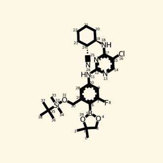 CC1(C)COB(c2c(F)cc(Nc3ncc(Cl)c(N[C@@H]4CCCC[C@H]4C#N)n3)cc2CO[Si](C)(C)C(C)(C)C)O1